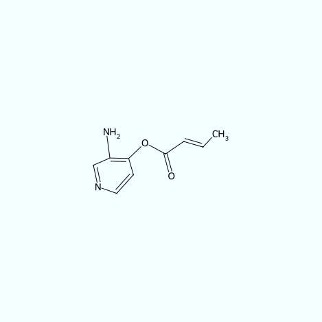 CC=CC(=O)Oc1ccncc1N